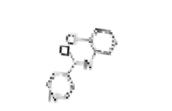 ClC(=Nc1ccccc1Cl)c1ccncc1